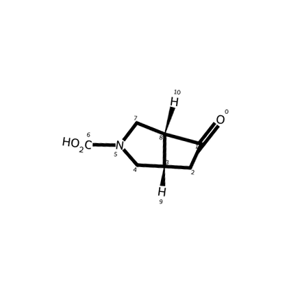 O=C1C[C@@H]2CN(C(=O)O)C[C@H]12